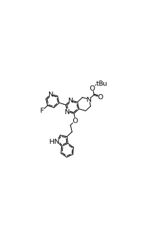 CC(C)(C)OC(=O)N1CCc2c(nc(-c3cncc(F)c3)nc2OCCc2c[nH]c3ccccc23)C1